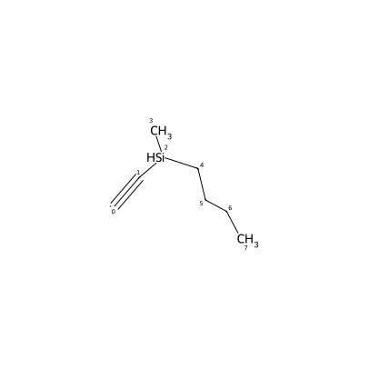 [C]#C[SiH](C)CCCC